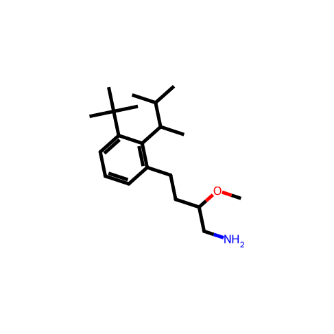 COC(CN)CCc1cccc(C(C)(C)C)c1C(C)C(C)C